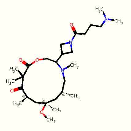 CO[C@]1(C)C[C@@H](C)CN(C)C(C2CN(C(=O)CCCN(C)C)C2)COC(=O)C(C)(C)C(=O)[C@H](C)C1